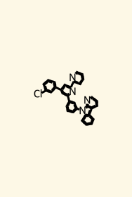 Clc1cccc(-c2cc(-c3cccc(-n4c5ccccc5c5cccnc54)c3)nc(-c3ccccn3)c2)c1